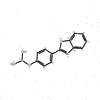 OB(O)Oc1ccc(-c2nc3ccccc3o2)cc1